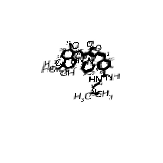 CN(C)CCNC(=N)c1ccc(/C=C2\C=C(C(CC3C4(CCC5[C@]3(C)CC[C@@H](O)[C@@]5(C)CO)CO4)Nc3ccccn3)C(=O)O2)cc1